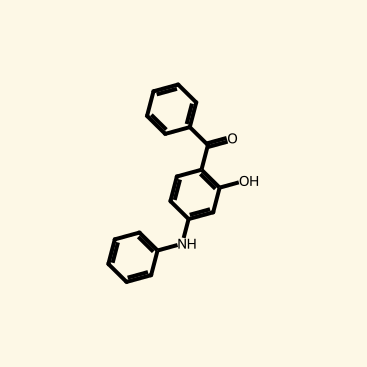 O=C(c1ccccc1)c1ccc(Nc2ccccc2)cc1O